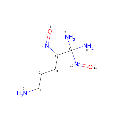 NCCCC(N=O)C(N)(N)N=O